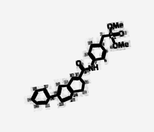 COP(=O)(Cc1ccc(NC(=O)C2=Cc3cc(-c4ccccc4)ccc3CC2)cc1)OC